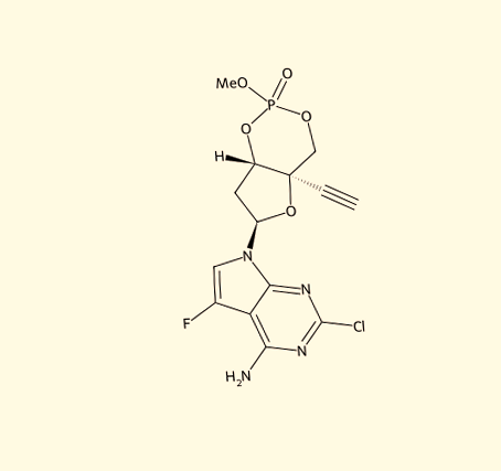 C#C[C@@]12COP(=O)(OC)O[C@H]1C[C@H](n1cc(F)c3c(N)nc(Cl)nc31)O2